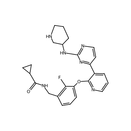 O=C(NCc1cccc(Oc2ncccc2-c2ccnc(NC3CCCNC3)n2)c1F)C1CC1